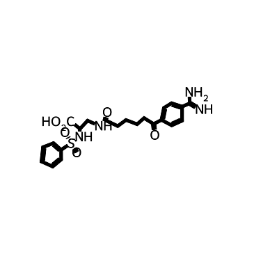 N=C(N)c1ccc(C(=O)CCCCC(=O)NCC(NS(=O)(=O)c2ccccc2)C(=O)O)cc1